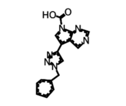 O=C(O)n1cc(-c2cn(Cc3ccccc3)nn2)c2cncnc21